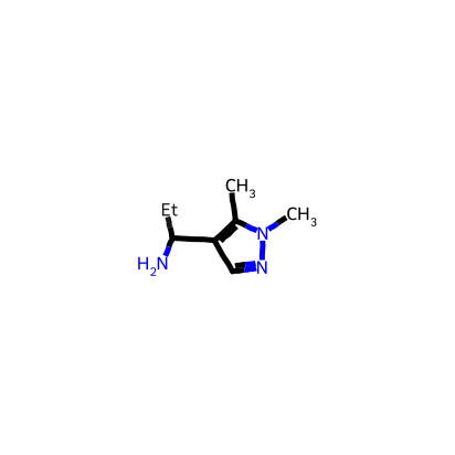 CCC(N)c1cnn(C)c1C